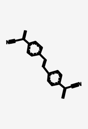 C=C(C#N)c1ccc(C=Cc2ccc(C(=C)C#N)cc2)cc1